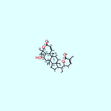 CC1=CC[C@@H]([C@@H](C)[C@H]2CC[C@@]3(C)[C@@H]4C[C@@H](O)[C@H]5C(C)(C)OC(=O)C=C[C@@]56C[C@@]46CC[C@]23C)OC1=O